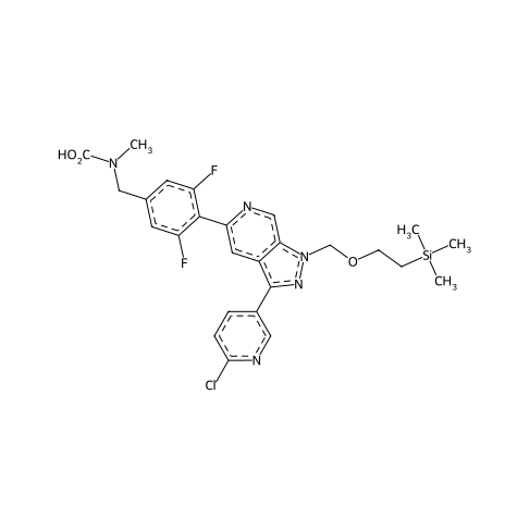 CN(Cc1cc(F)c(-c2cc3c(-c4ccc(Cl)nc4)nn(COCC[Si](C)(C)C)c3cn2)c(F)c1)C(=O)O